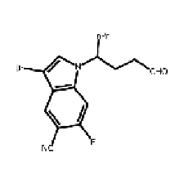 CCCC(CCC=O)n1cc(Br)c2cc(C#N)c(F)cc21